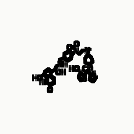 CN(CCn1c(=O)oc2cc(CNC[C@H](O)c3ccc(O)c4[nH]c(=O)ccc34)ccc21)[C@H]1CC[C@H](OC(C(=O)O)(c2cccs2)c2cccs2)CC1